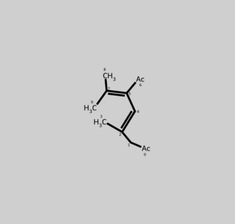 CC(=O)CC(C)=CC(C(C)=O)=C(C)C